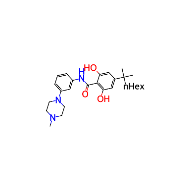 CCCCCCC(C)(C)c1cc(O)c(C(=O)Nc2cccc(N3CCN(C)CC3)c2)c(O)c1